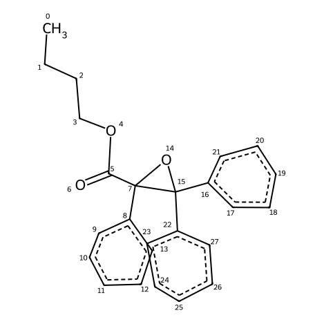 CCCCOC(=O)C1(c2ccccc2)OC1(c1ccccc1)c1ccccc1